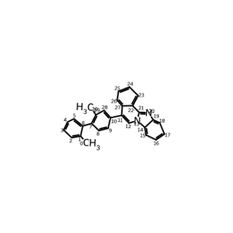 Cc1ccccc1-c1ccc(-c2cn3c4ccccc4nc3c3ccccc23)cc1C